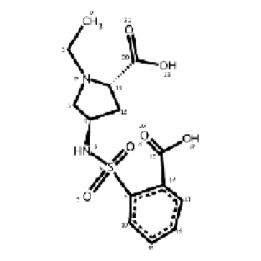 CCN1C[C@H](NS(=O)(=O)c2ccccc2C(=O)O)C[C@H]1C(=O)O